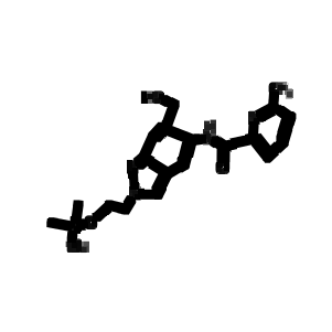 CC(C)(C)[Si](C)(C)OCCn1cc2cc(NC(=O)c3cccc(C(F)(F)F)n3)c(CO)cc2n1